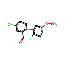 COc1ccc(F)c(-c2ccc(Cl)cc2C=O)c1